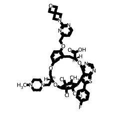 Cc1c(Cl)c2c(Cl)c(C)c1-c1c(-c3ccc(F)cc3)sc3ncnc(c13)O[C@@H](C(=O)O)Cc1cc(ccc1OCc1ccnc(N3CC4(COC4)C3)n1)OC[C@@H](CN1CCN(C)CC1)O2